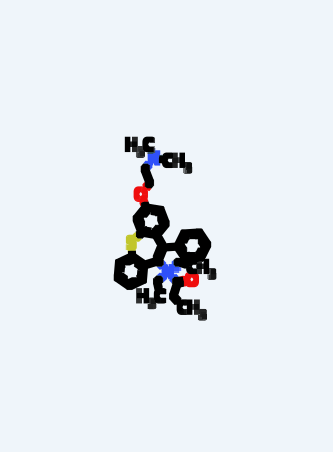 CCC(=O)[N+](CC)(CC)C1=C(c2ccccc2)c2ccc(OCCN(C)C)cc2Sc2ccccc21